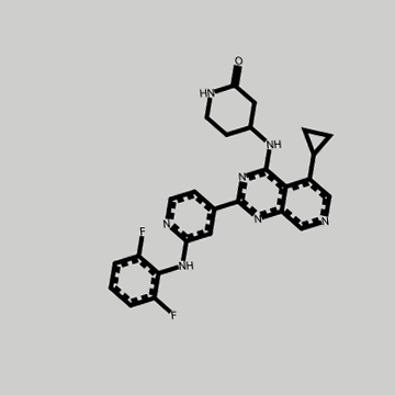 O=C1CC(Nc2nc(-c3ccnc(Nc4c(F)cccc4F)c3)nc3cncc(C4CC4)c23)CCN1